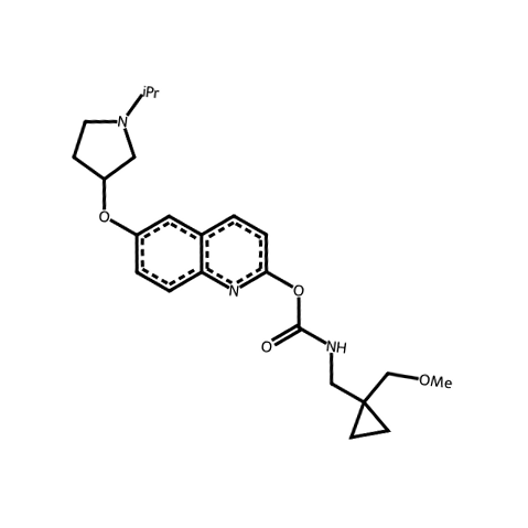 COCC1(CNC(=O)Oc2ccc3cc(OC4CCN(C(C)C)C4)ccc3n2)CC1